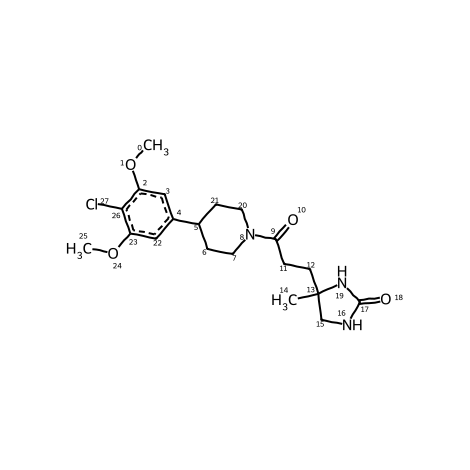 COc1cc(C2CCN(C(=O)CCC3(C)CNC(=O)N3)CC2)cc(OC)c1Cl